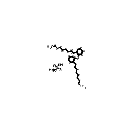 CCCCCCCCCc1ccccc1Oc1ccccc1CCCCCCCCC.O=S(=O)(O)O.[KH]